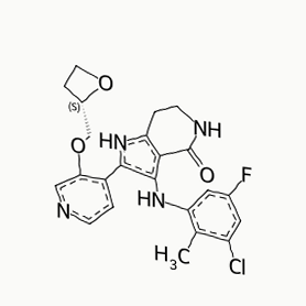 Cc1c(Cl)cc(F)cc1Nc1c(-c2ccncc2OC[C@@H]2CCO2)[nH]c2c1C(=O)NCC2